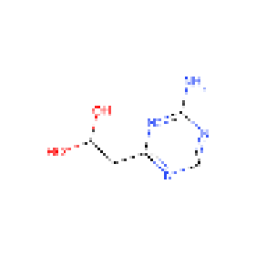 Nc1ncnc(CC(O)O)n1